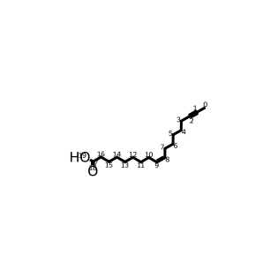 CC#CCCCCC/C=C\CCCCCCCC(=O)O